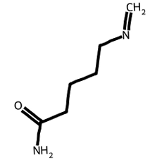 C=NCCCCC(N)=O